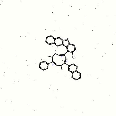 CC1/C=C(/c2ccccc2)C(C)C/C=C(c2c(Cl)ccc3sc4cc5ccccc5cc4c23)/N=C\1c1ccc2ccccc2c1